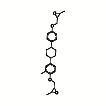 Cc1cc(C2CCC(c3ccc(OCC4OC4C)cc3)CC2)ccc1OCC1OC1C